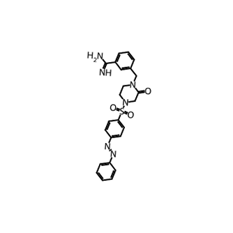 N=C(N)c1cccc(CN2CCN(S(=O)(=O)c3ccc(/N=N/c4ccccc4)cc3)CC2=O)c1